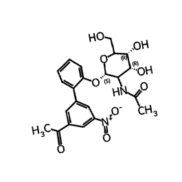 CC(=O)NC1[C@H](Oc2ccccc2-c2cc(C(C)=O)cc([N+](=O)[O-])c2)OC(CO)[C@H](O)[C@@H]1O